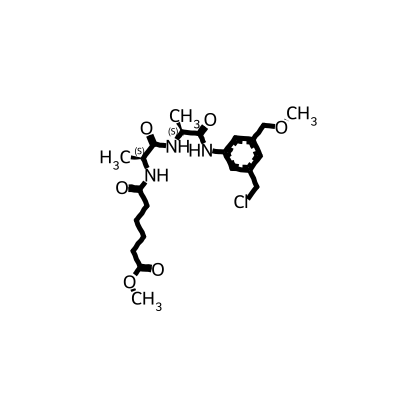 COCc1cc(CCl)cc(NC(=O)[C@H](C)NC(=O)[C@H](C)NC(=O)CCCCC(=O)OC)c1